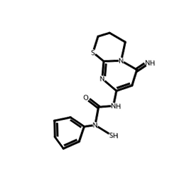 N=c1cc(NC(=O)N(S)c2ccccc2)nc2n1CCCS2